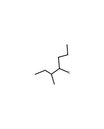 CCCC(I)C(C)CC